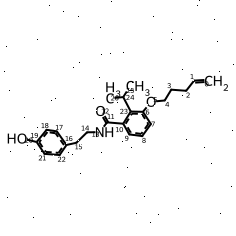 C=CCCCOc1cccc(C(=O)NCCc2ccc(O)cc2)c1C(C)C